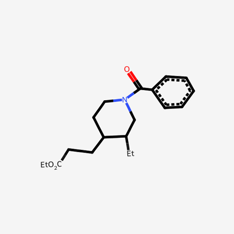 CCOC(=O)CCC1CCN(C(=O)c2ccccc2)CC1CC